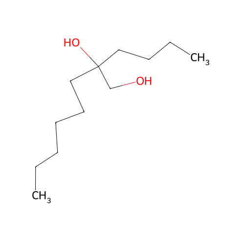 CCCCCCC(O)(CO)CCCC